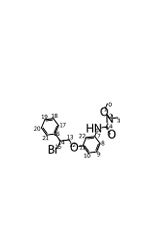 CON(C)C(=O)Nc1cccc(OCC(Br)c2ccccc2)c1